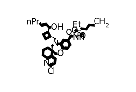 C=CCCC(CC)S(=O)(=O)NC(=O)c1ccc2c(c1)N(C[C@@H]1CC[C@H]1C(O)/C=C/CCC)C[C@@]1(CCCc3nc(Cl)ccc31)CO2